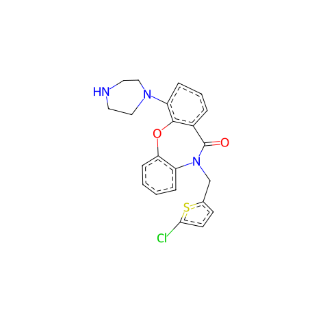 O=C1c2cccc(N3CCNCC3)c2Oc2ccccc2N1Cc1ccc(Cl)s1